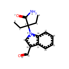 CCC(CC)(C(N)=O)n1cc(C=O)c2ccccc21